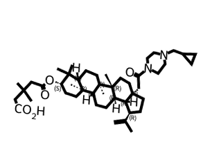 C=C(C)[C@@H]1CC[C@]2(CC(=O)N3CCN(CC4CC4)CC3)CC[C@]3(C)[C@H](CC[C@@H]4[C@@]5(C)CC[C@H](OC(=O)CC(C)(C)CC(=O)O)C(C)(C)[C@@H]5CC[C@]43C)[C@@H]12